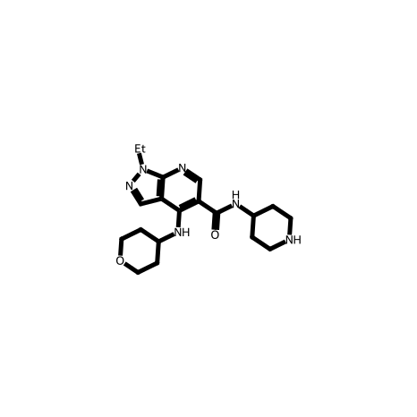 CCn1ncc2c(NC3CCOCC3)c(C(=O)NC3CCNCC3)cnc21